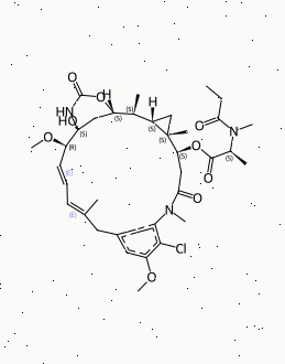 CCC(=O)N(C)[C@@H](C)C(=O)O[C@H]1CC(=O)N(C)c2cc(cc(OC)c2Cl)C/C(C)=C/C=C/[C@@H](OC)[C@@]2(O)C[C@H](OC(=O)N2)[C@@H](C)[C@@H]2C[C@]12C